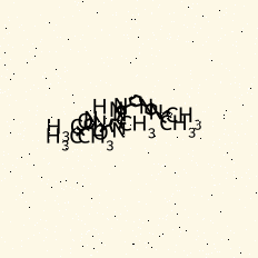 CCC(CC)N1CCN(c2cccc(-c3cn(-c4cc(C(=O)Nc5cc(C(C)(C)C)on5)cnc4C)nn3)c2)CC1